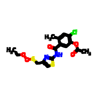 CCOOSCc1csc(NC(=O)c2cc(OC(C)=O)c(Cl)cc2C)n1